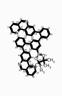 CC1(C)OB(c2cc(-c3ccccc3-c3ccc4c(c3)ncc3cccnc34)cc(-c3ccccc3-c3ccc4c(c3)ncc3cccnc34)c2)OC1(C)C